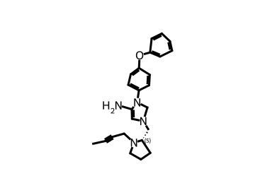 CC#CCN1CCC[C@H]1CN1C=C(N)N(c2ccc(Oc3ccccc3)cc2)C1